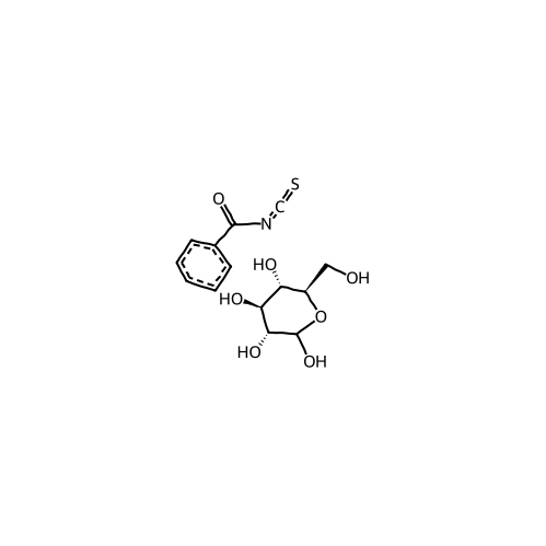 O=C(N=C=S)c1ccccc1.OC[C@H]1OC(O)[C@H](O)[C@@H](O)[C@@H]1O